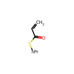 [CH2]CCSC(=O)C=C